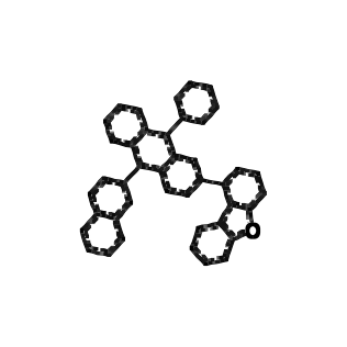 c1ccc(-c2c3ccccc3c(-c3ccc4ccccc4c3)c3ccc(-c4cccc5oc6ccccc6c45)cc23)cc1